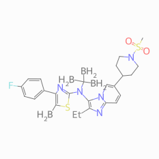 Bc1sc(N(c2c(CC)nc3ccc(C4CCN(S(C)(=O)=O)CC4)cn23)C(B)(B)B)nc1-c1ccc(F)cc1